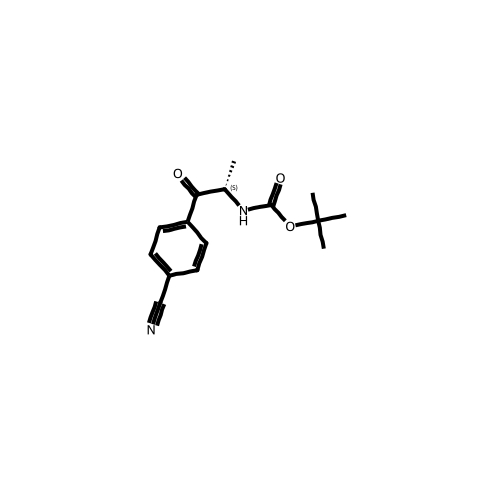 C[C@H](NC(=O)OC(C)(C)C)C(=O)c1ccc(C#N)cc1